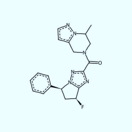 CC1CN(C(=O)c2nc3n(n2)[C@H](c2ccccc2)C[C@@H]3F)Cc2ccnn21